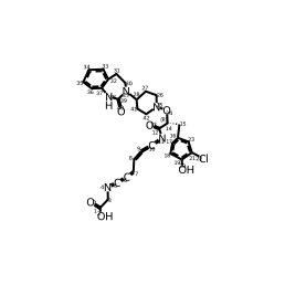 O=C(O)CN=C=C=CC=C=C=NC(=O)[C@@H](Cc1ccc(O)c(Cl)c1)ON1CCC(N2CCc3ccccc3NC2=O)CC1